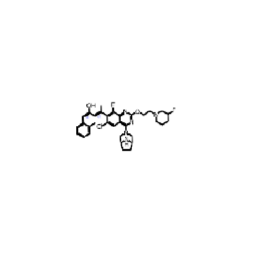 C/C(=C\C(O)=C/c1ccccc1C)c1c(Cl)cc2c(N3CC4CCC(C3)N4)nc(OCCN3CCCC(F)C3)nc2c1F